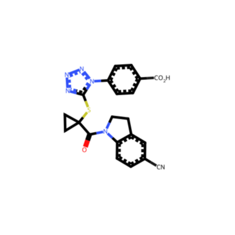 N#Cc1ccc2c(c1)CCN2C(=O)C1(Sc2nnnn2-c2ccc(C(=O)O)cc2)CC1